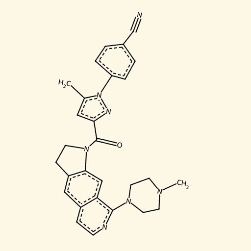 Cc1cc(C(=O)N2CCc3cc4ccnc(N5CCN(C)CC5)c4cc32)nn1-c1ccc(C#N)cc1